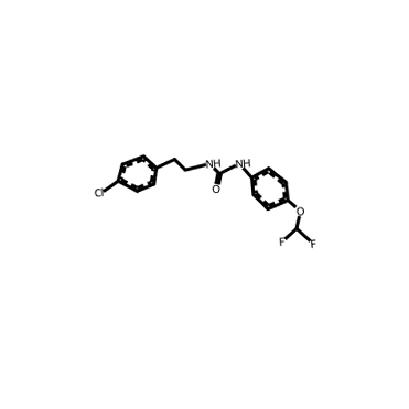 O=C(NCCc1ccc(Cl)cc1)Nc1ccc(OC(F)F)cc1